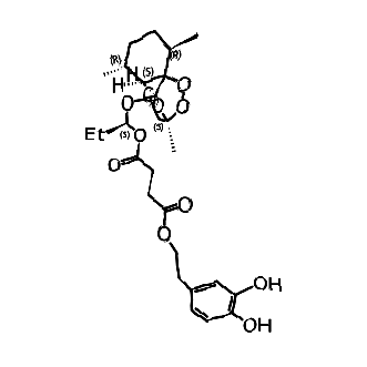 CC[C@H](OC(=O)CCC(=O)OCCc1ccc(O)c(O)c1)O[C@@H]1O[C@]2(C)CC[C@H]3[C@H](C)CC[C@@H](C)C13OO2